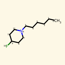 CCCCCCN1CCC(F)CC1